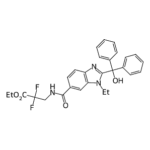 CCOC(=O)C(F)(F)CNC(=O)c1ccc2nc(C(O)(c3ccccc3)c3ccccc3)n(CC)c2c1